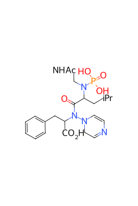 CC(=O)NCN(C(CC(C)C)C(=O)N(C(Cc1ccccc1)C(=O)O)N1C=CN=CC1)P(=O)(O)O